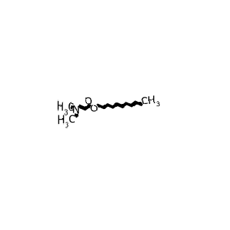 CCCCCCCCCCCOC(=O)CCN(C)CC